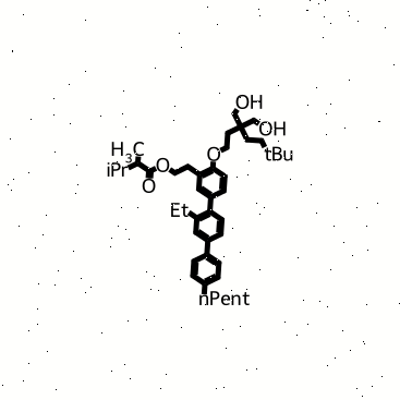 CCCCCc1ccc(-c2ccc(-c3ccc(OCCC(CO)(CO)CCC(C)(C)C)c(CCOC(=O)C(C)C(C)C)c3)c(CC)c2)cc1